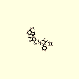 CC(NP(=O)(OC[C@H]1O[C@@](C#N)(c2ccc3c(N)ncnn23)[C@H](O)[C@@H]1O)Oc1ccccc1)C(=O)OC1CCC1